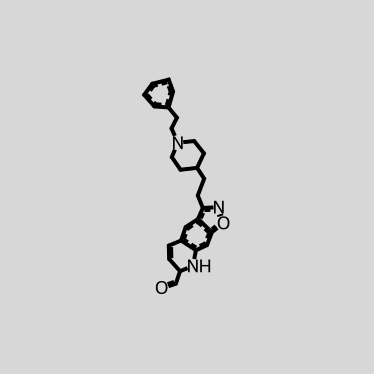 O=CC1C=Cc2cc3c(CCC4CCN(CCc5ccccc5)CC4)noc3cc2N1